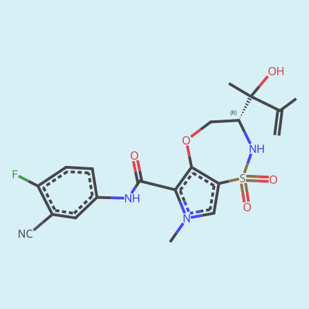 C=C(C)C(C)(O)[C@H]1COc2c(cn(C)c2C(=O)Nc2ccc(F)c(C#N)c2)S(=O)(=O)N1